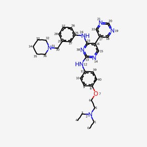 CCN(CC)CCOc1ccc(Nc2ncc(-c3cncnc3)c(Nc3cccc(CN4CCCCC4)c3)n2)cc1